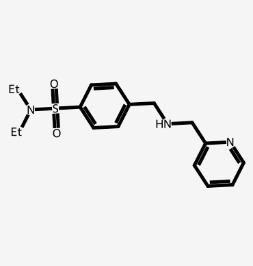 CCN(CC)S(=O)(=O)c1ccc(CNCc2ccccn2)cc1